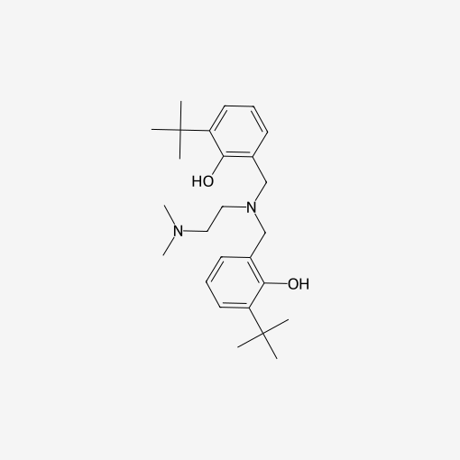 CN(C)CCN(Cc1cccc(C(C)(C)C)c1O)Cc1cccc(C(C)(C)C)c1O